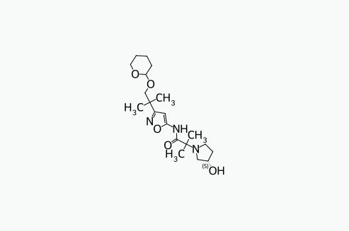 CC(C)(COC1CCCCO1)c1cc(NC(=O)C(C)(C)N2CC[C@H](O)C2)on1